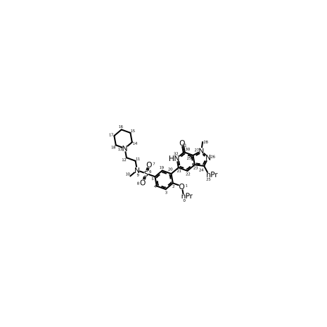 CCCOc1ccc(S(=O)(=O)N(C)CCN2CCCCC2)cc1-c1cc2c(CCC)nn(C)c2c(=O)[nH]1